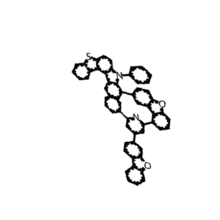 c1ccc(-c2cc(-c3ccc4c(c3)oc3ccccc34)cc(-c3cccc4oc5ccc(-c6cccc7c8c9c(ccc8n(-c8ccccc8)c67)sc6ccccc69)cc5c34)n2)cc1